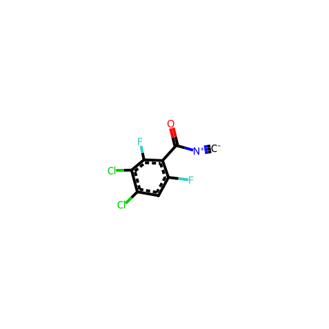 [C-]#[N+]C(=O)c1c(F)cc(Cl)c(Cl)c1F